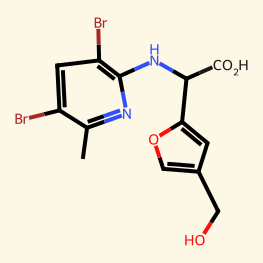 Cc1nc(NC(C(=O)O)c2cc(CO)co2)c(Br)cc1Br